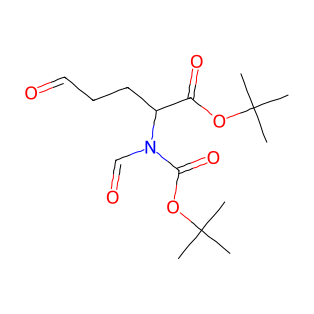 CC(C)(C)OC(=O)C(CCC=O)N(C=O)C(=O)OC(C)(C)C